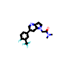 CN(C)C(=O)Cn1ccc2ncc(-c3ccc(F)c(C(F)(F)F)c3)cc21